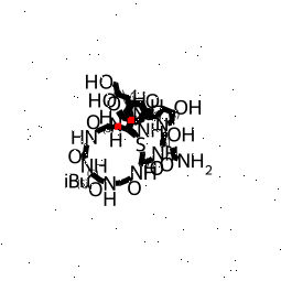 CC[C@H](C)[C@@H]1NC(=O)CNC(=O)[C@@H]2Cc3c([nH]c4ccccc34)SC[C@H](NC(=O)CNC1=O)C(=O)N[C@@H](CC(N)=O)C(O)N1C[C@H](O)C[C@H]1C(=O)N[C@@H]([C@@H](C)[C@@H](O)CO)C(=O)N2